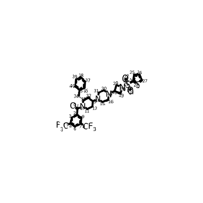 O=C(c1cc(C(F)(F)F)cc(C(F)(F)F)c1)N1CCC(N2CCN(C3CN(S(=O)(=O)c4cccs4)C3)CC2)C[C@H]1Cc1ccccc1